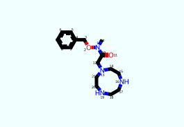 CN(OCc1ccccc1)C(=O)CN1CCNCCNCC1